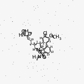 COc1ccc(-c2cc(CCCC(=O)NO)cnc2-c2ccccc2S(N)(=O)=O)cc1Cl